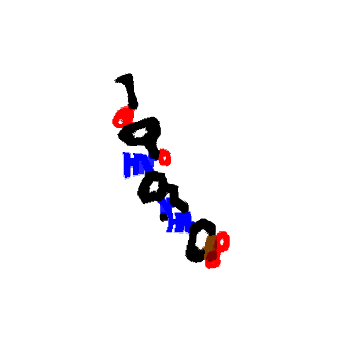 Cn1c(CNC2CCS(=O)(=O)CC2)cc2cc(NC(=O)c3ccc(OCC4CC4)cc3)ccc21